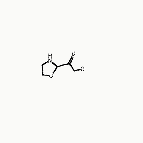 [O]CC(=O)C1NCCO1